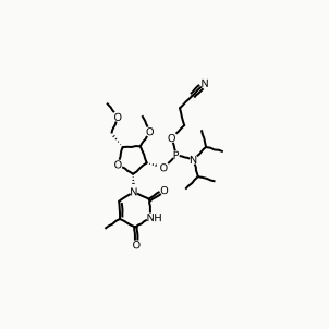 COC[C@H]1O[C@@H](n2cc(C)c(=O)[nH]c2=O)[C@@H](OP(OCCC#N)N(C(C)C)C(C)C)C1OC